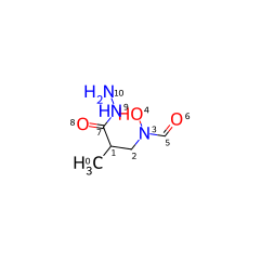 CC(CN(O)C=O)C(=O)NN